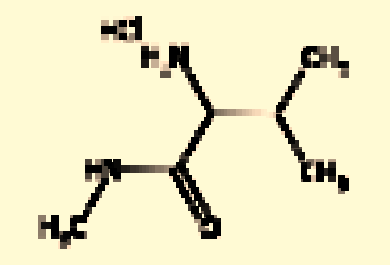 CNC(=O)C(N)C(C)C.Cl